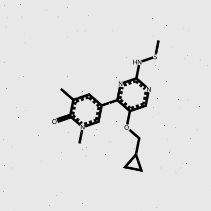 CSNc1ncc(OCC2CC2)c(-c2cc(C)c(=O)n(C)c2)n1